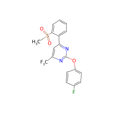 CS(=O)(=O)c1ccccc1-c1cc(C(F)(F)F)nc(Oc2ccc(F)cc2)n1